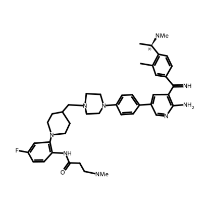 CNCCC(=O)Nc1ccc(F)cc1N1CCC(CN2CCN(c3ccc(-c4cnc(N)c(C(=N)c5ccc([C@@H](C)NC)c(C)c5)c4)cc3)CC2)CC1